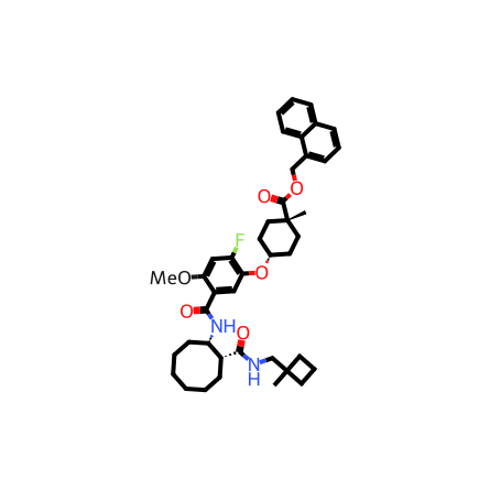 COc1cc(F)c(O[C@H]2CC[C@@](C)(C(=O)OCc3cccc4ccccc34)CC2)cc1C(=O)N[C@H]1CCCCCC[C@H]1C(=O)NCC1(C)CCC1